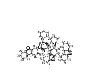 c1cncc(-c2ccccc2-c2nc(-c3ccc4c(c3)oc3ccccc34)nc(-c3ccc(-c4cccc5sc6ccccc6c45)c4oc5ccccc5c34)n2)c1